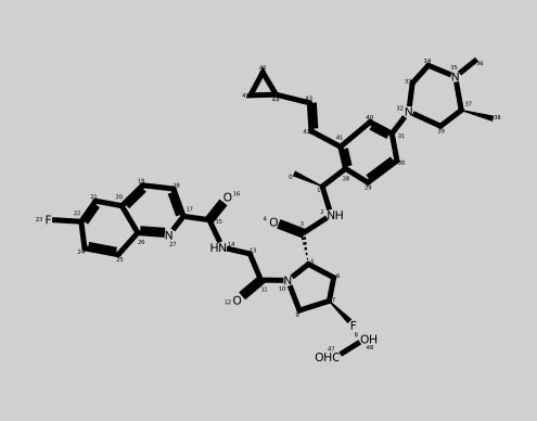 C[C@H](NC(=O)[C@@H]1C[C@@H](F)CN1C(=O)CNC(=O)c1ccc2cc(F)ccc2n1)c1ccc(N2CCN(C)[C@@H](C)C2)cc1/C=C/C1CC1.O=CO